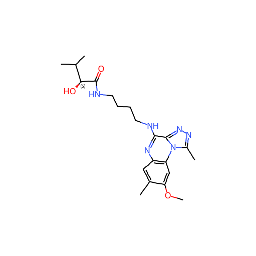 COc1cc2c(cc1C)nc(NCCCCNC(=O)[C@@H](O)C(C)C)c1nnc(C)n12